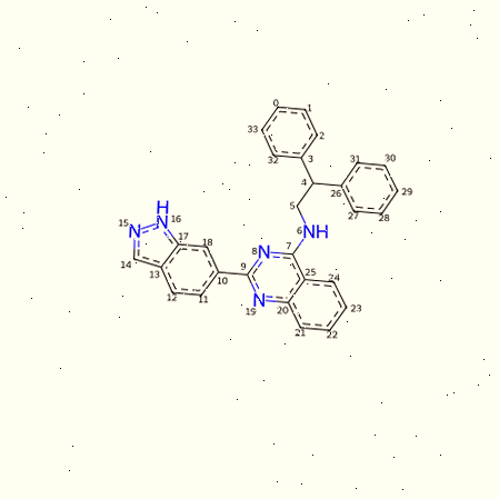 c1ccc(C(CNc2nc(-c3ccc4cn[nH]c4c3)nc3ccccc23)c2ccccc2)cc1